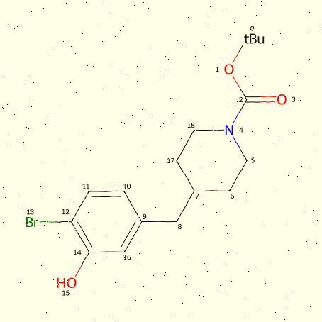 CC(C)(C)OC(=O)N1CCC(Cc2ccc(Br)c(O)c2)CC1